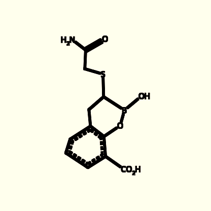 NC(=O)CSC1Cc2cccc(C(=O)O)c2OB1O